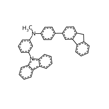 CN(c1ccc(-c2ccc3c(c2)-c2ccccc2C3)cc1)c1cccc(-n2c3ccccc3c3ccccc32)c1